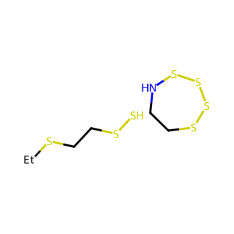 C1CSSSSN1.CCSCCSS